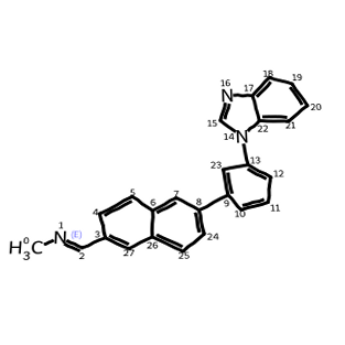 C/N=C/c1ccc2cc(-c3cccc(-n4cnc5ccccc54)c3)ccc2c1